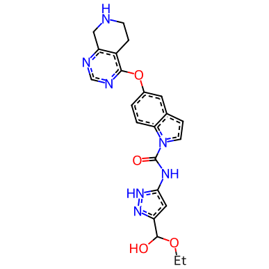 CCOC(O)c1cc(NC(=O)n2ccc3cc(Oc4ncnc5c4CCNC5)ccc32)[nH]n1